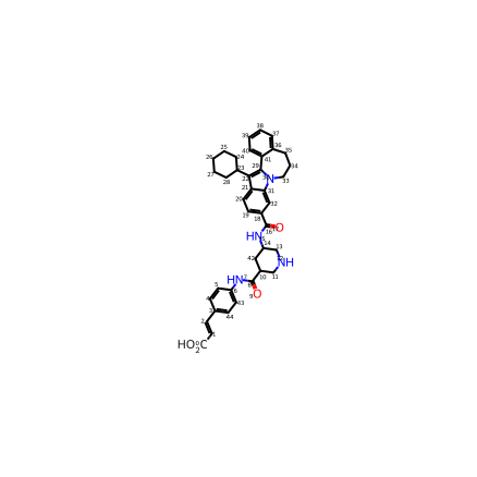 O=C(O)/C=C/c1ccc(NC(=O)C2CNCC(NC(=O)c3ccc4c(C5CCCCC5)c5n(c4c3)CCCc3ccccc3-5)C2)cc1